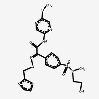 COc1cnc(NC(=O)/C(=N/OCc2nccs2)c2ccc(S(=O)(=O)N(C)CCO)cc2)cn1